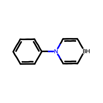 B1C=CN(c2ccccc2)C=C1